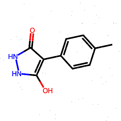 Cc1ccc(-c2c(O)[nH][nH]c2=O)cc1